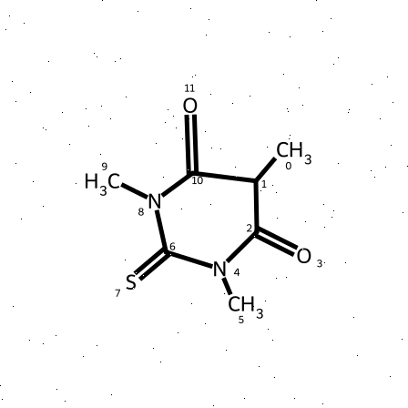 CC1C(=O)N(C)C(=S)N(C)C1=O